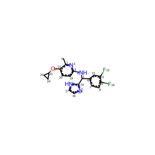 Cc1nc(NC(c2ccc(F)c(F)c2)c2ncc[nH]2)ccc1OC1CC1